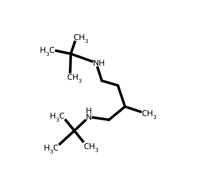 CC(CCNC(C)(C)C)CNC(C)(C)C